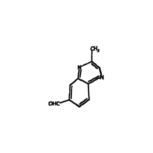 Cc1cnc2ccc(C=O)cc2n1